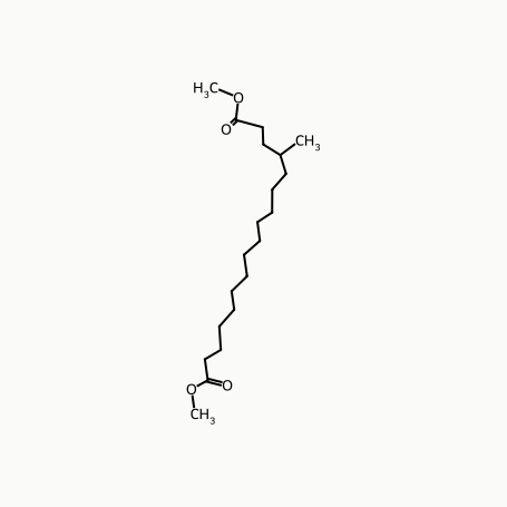 COC(=O)CCCCCCCCCCCCC(C)CCC(=O)OC